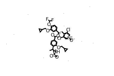 CC(N[SH](=O)=O)c1ccc(C(=O)O[C@@H](Cc2c(Cl)c[n+]([O-])cc2Cl)c2ccc(OC(F)F)c(OCC3CC3)c2)cc1OCC1CC1